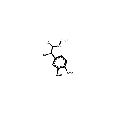 COc1cc([C@@H](O)C(C)NC(=O)O)ccc1SC